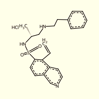 C=Cc1c(S(=O)(=O)N[C@H](C)CNCCc2ccccc2)ccc2cnccc12.Cl